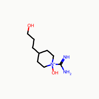 N=C(N)[N+]1(O)CCC(CCCO)CC1